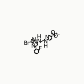 O=[N+]([O-])c1ccc(NCCNc2cc(-c3ccccc3F)nc3c(Br)cnn23)nc1